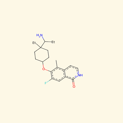 CCC(N)C1(CC)CCC(Oc2c(F)cc3c(=O)[nH]ccc3c2C)CC1